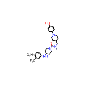 CN(CC1CCN(c2ccc(O)cc2)CC1)C(=O)N1CCC(Nc2ccc([N+](=O)[O-])c(C(F)(F)F)c2)CC1